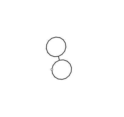 C1CCCCCCCC(C2CCCCCCCCCCCOCC2)CCCCCC1